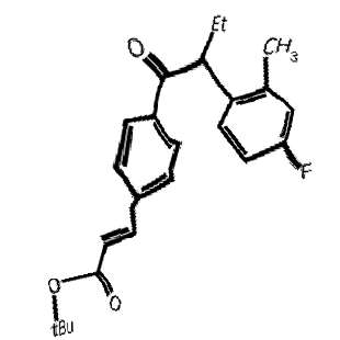 CCC(C(=O)c1ccc(/C=C/C(=O)OC(C)(C)C)cc1)c1ccc(F)cc1C